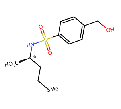 CSCC[C@H](NS(=O)(=O)c1ccc(CO)cc1)C(=O)O